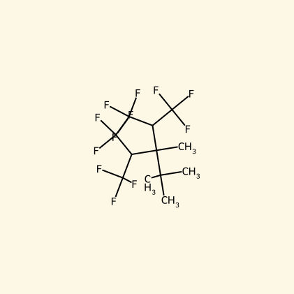 CC(C)(C)C(C)(C(C(F)(F)F)C(F)(F)F)C(C(F)(F)F)C(F)(F)F